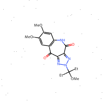 CCC(CC)(OC)n1nc2c(=O)[nH]c3cc(OC)c(OC)cc3c(=O)c2n1